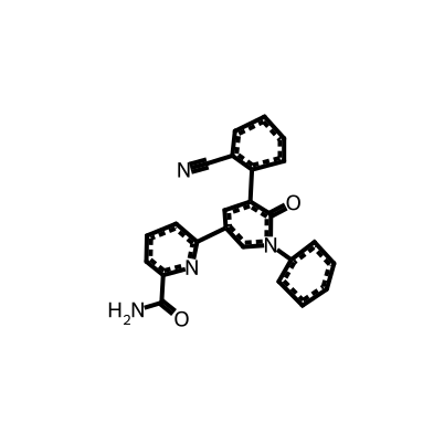 N#Cc1ccccc1-c1cc(-c2cccc(C(N)=O)n2)cn(-c2ccccc2)c1=O